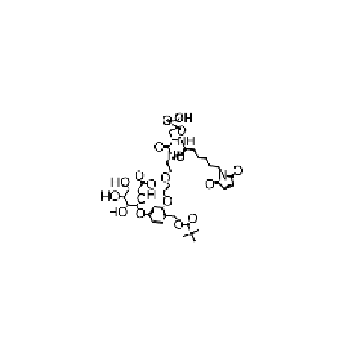 CC(C)(C)C(=O)OCc1ccc(O[C@@H]2O[C@H](C(=O)O)[C@@H](O)[C@H](O)[C@H]2O)cc1OCCOCCNC(=O)C(CS(=O)(=O)O)NC(=O)CCCCCN1C(=O)C=CC1=O